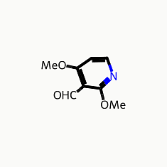 COc1ccnc(OC)c1C=O